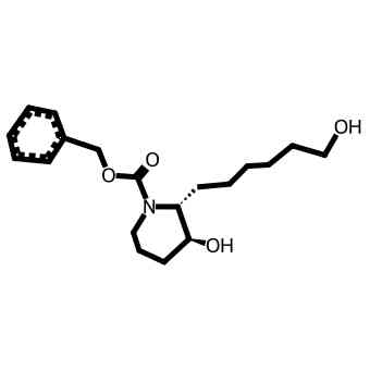 O=C(OCc1ccccc1)N1CCC[C@H](O)[C@H]1CCCCCCO